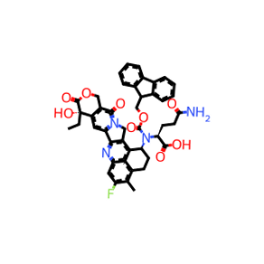 CC[C@@]1(O)C(=O)OCc2c1cc1n(c2=O)Cc2c-1nc1cc(F)c(C)c3c1c2[C@@H](N(C(=O)OCC1c2ccccc2-c2ccccc21)[C@@H](CCC(N)=O)C(=O)O)CC3